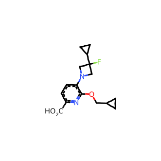 O=C(O)c1ccc(N2CC(F)(C3CC3)C2)c(OCC2CC2)n1